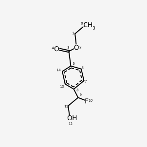 CCOC(=O)c1ccc(C(F)CO)cc1